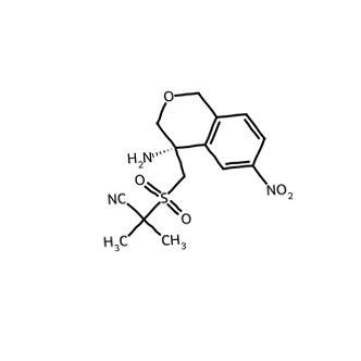 CC(C)(C#N)S(=O)(=O)C[C@@]1(N)COCc2ccc([N+](=O)[O-])cc21